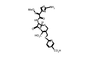 CON=C(C(=O)N[C@@H]1C(=O)N2C(C(=O)O)=C(CSc3ccc(C(=O)O)cn3)CS[C@@H]12)c1csc(N)n1